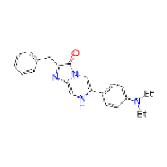 CCN(CC)c1ccc(-c2cn3c(=O)c(Cc4ccccc4)nc-3c[nH]2)cc1